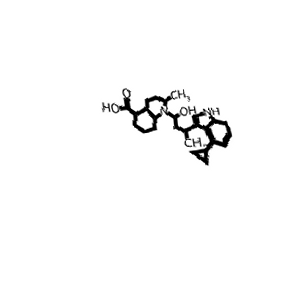 CC(CC(O)N1C(C)CCC2C(C(=O)O)CCCC21)c1c[nH]c2cccc(C3CC3)c12